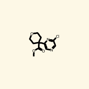 COC(=O)C1(c2cncc(Cl)n2)CCOCC1